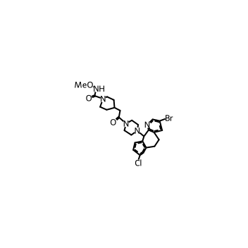 CONC(=O)N1CCC(CC(=O)N2CCN(C3c4ccc(Cl)cc4CCc4cc(Br)cnc43)CC2)CC1